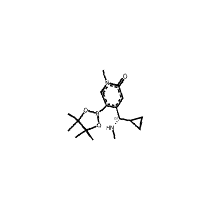 CN[C@H](c1cc(=O)n(C)cc1B1OC(C)(C)C(C)(C)O1)C1CC1